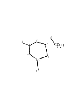 CC(=O)O.CC1CCCN(C)C1